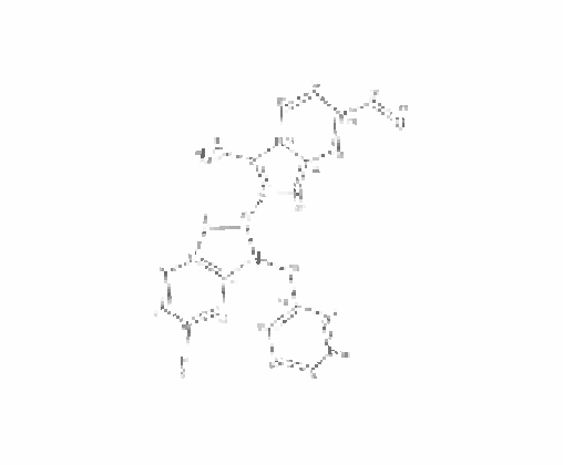 Cc1c(-c2cc3ccc(F)cc3n2Cc2cccnc2)nc2cc(C=O)ccn12